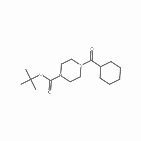 CC(C)(C)OC(=O)N1CCN(C(=O)C2CCCCC2)CC1